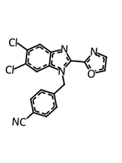 N#Cc1ccc(Cn2c(-c3ncco3)nc3cc(Cl)c(Cl)cc32)cc1